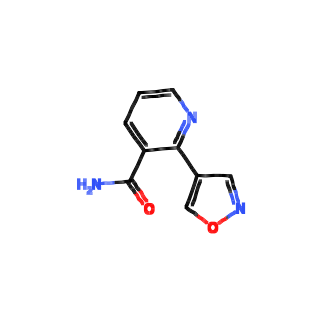 NC(=O)c1cccnc1-c1cnoc1